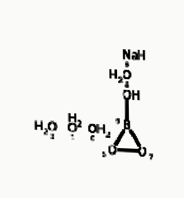 O.O.O.O.OB1OO1.[NaH]